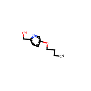 N#CCCCOc1ccc(CO)nc1